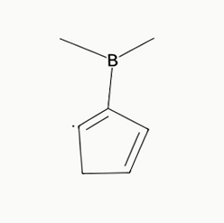 CB(C)C1=[C]CC=C1